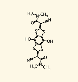 CN(C)C(=O)C(C#N)=C1Sc2c(O)c3c(c(O)c2S1)SC(=C(C#N)C(=O)N(C)C)S3